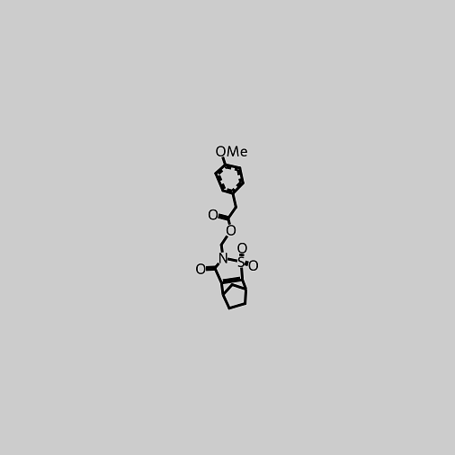 COc1ccc(CC(=O)OCN2C(=O)C3=C(C4CCC3C4)S2(=O)=O)cc1